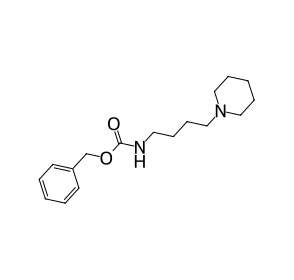 O=C(NCCCCN1CCCCC1)OCc1ccccc1